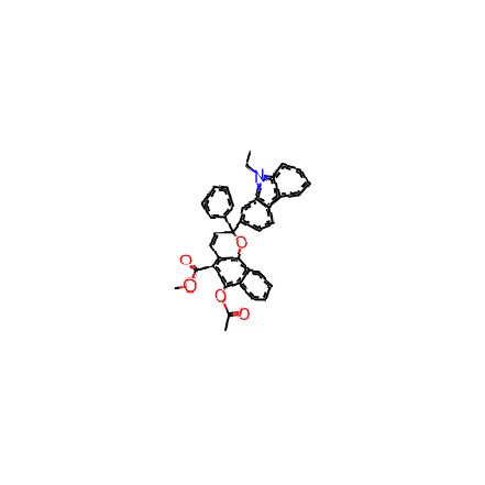 CCn1c2ccccc2c2ccc(C3(c4ccccc4)C=Cc4c(C(=O)OC)c(OC(C)=O)c5ccccc5c4O3)cc21